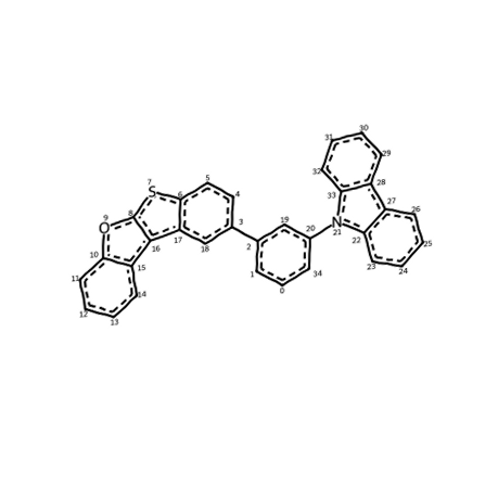 c1cc(-c2ccc3sc4oc5ccccc5c4c3c2)cc(-n2c3ccccc3c3ccccc32)c1